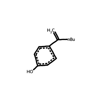 C=C(CCCC)c1ccc(O)cc1